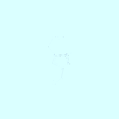 CCOC(=O)Cn1cc(CO)nn1